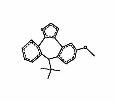 COc1ccc2c(c1)-c1ccsc1-c1ccccc1C2C(C)(C)C